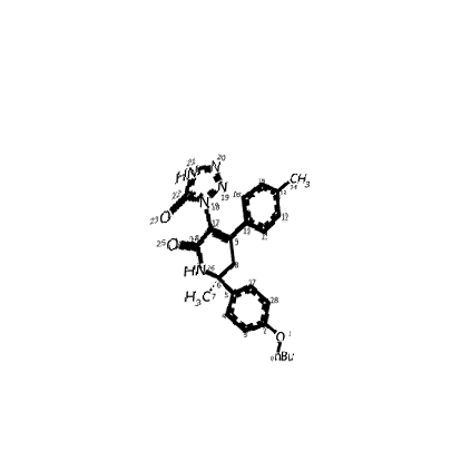 CCCCOc1ccc([C@]2(C)CC(c3ccc(C)cc3)=C(n3nn[nH]c3=O)C(=O)N2)cc1